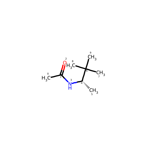 CC(=O)N[C@@H](C)C(C)(C)C